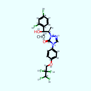 C[C@@H](n1ncn(-c2ccc(OCC(F)(F)C(F)F)cc2)c1=O)[C@](O)(C=O)c1ccc(F)cc1F